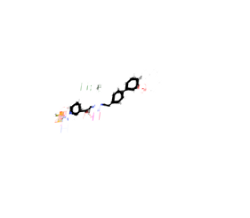 CC(C)Oc1cc(-c2ccc(CCNC[C@@H](O)c3cccc(NS(C)(=O)=O)c3)cc2)ccc1C(=O)O.Cl.Cl